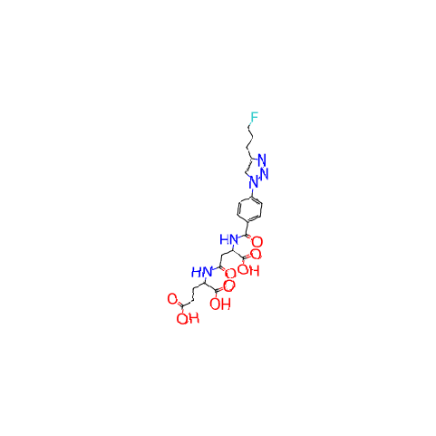 O=C(O)CCC(NC(=O)CC(NC(=O)c1ccc(-n2cc(CCCF)nn2)cc1)C(=O)O)C(=O)O